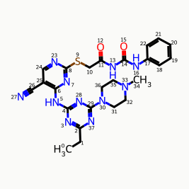 CCc1nc(Nc2nc(SCC(=O)NC(=O)Nc3ccccc3)ncc2C#N)nc(N2CCN(C)CC2)n1